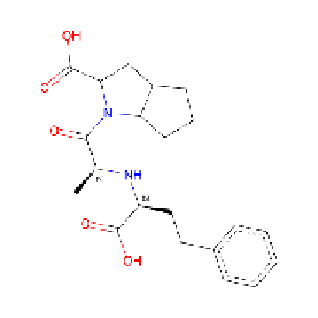 C[C@H](N[C@@H](CCc1ccccc1)C(=O)O)C(=O)N1C(C(=O)O)CC2CCCC21